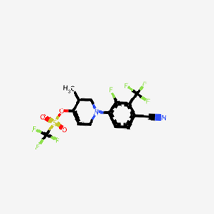 CC1CN(c2ccc(C#N)c(C(F)(F)F)c2F)CC=C1OS(=O)(=O)C(F)(F)F